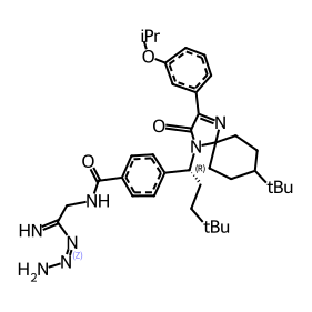 CC(C)Oc1cccc(C2=NC3(CCC(C(C)(C)C)CC3)N([C@H](CCC(C)(C)C)c3ccc(C(=O)NCC(=N)/N=N\N)cc3)C2=O)c1